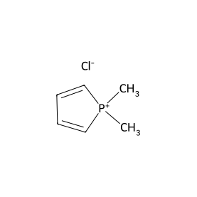 C[P+]1(C)C=CC=C1.[Cl-]